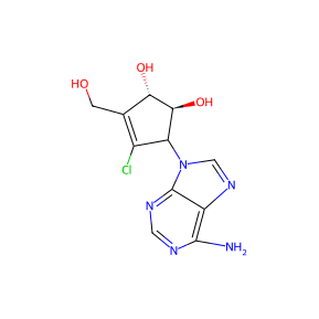 Nc1ncnc2c1ncn2C1C(Cl)=C(CO)[C@H](O)[C@H]1O